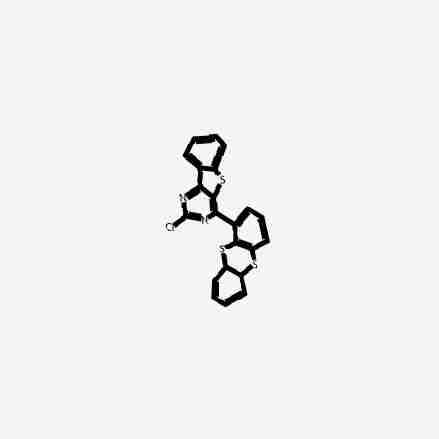 Clc1nc(-c2cccc3c2SC2C=CC=CC2S3)c2sc3ccccc3c2n1